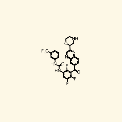 O=C(Nc1cccc(C(F)(F)F)c1)Nc1cc(F)c(F)c(C(=O)c2ccc3nc(C4CNCCO4)cnc3c2)c1F